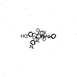 C[C@@H](c1cccc(N(C)C)c1)N1C[C@H]2N(C(=O)CN(C)N2C(=O)NCc2ccccc2)[C@@H](Cc2ccc(O)cc2)C1=O